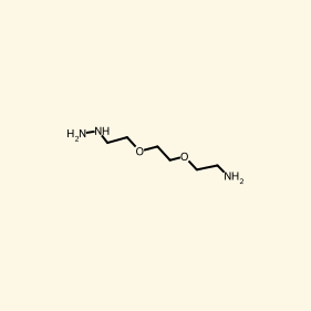 NCCOCCOCCNN